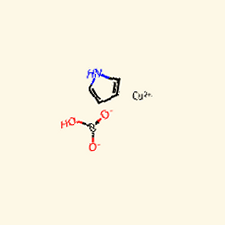 [Cu+2].[O-]B([O-])O.c1cc[nH]c1